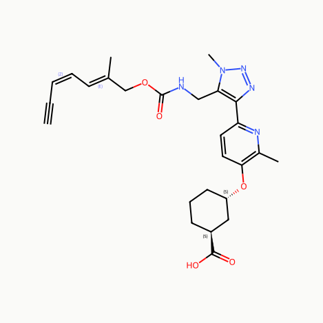 C#C/C=C\C=C(/C)COC(=O)NCc1c(-c2ccc(O[C@H]3CCC[C@H](C(=O)O)C3)c(C)n2)nnn1C